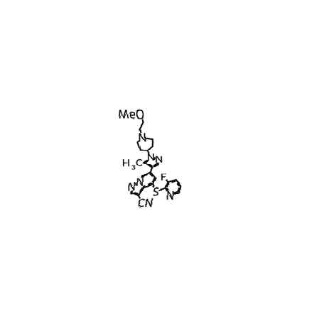 COCCN1CCC(n2ncc(-c3cc(Sc4ncccc4F)c4c(C#N)cnn4c3)c2C)CC1